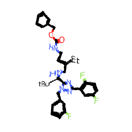 CC/C(=C\CNC(=O)OCc1ccccc1)CN[C@@H](c1nc(-c2cc(F)ccc2F)nn1Cc1cccc(F)c1)C(C)(C)C